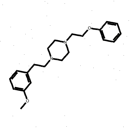 COc1cccc(CCN2CCN(CCOc3ccccc3)CC2)c1